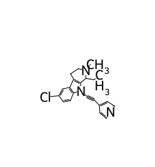 CCC1c2c(c3cc(Cl)ccc3n2C#Cc2ccncc2)CCN1C